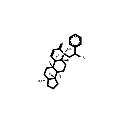 CC(C[N@@+]1(C)C(=O)C=C[C@@]2(C)[C@H]1CC[C@H]1[C@@H]3CCC[C@@]3(C)CC[C@@H]12)c1ccccc1